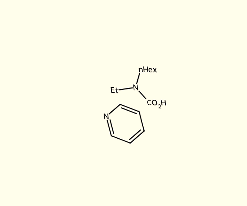 CCCCCCN(CC)C(=O)O.c1ccncc1